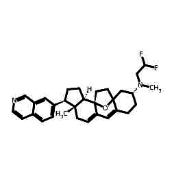 CN(CC(F)F)[C@@H]1CCC2=CC3=CC[C@]4(C)[C@@H](c5ccc6ccncc6c5)CC[C@H]4[C@@]34CCC2(C1)O4